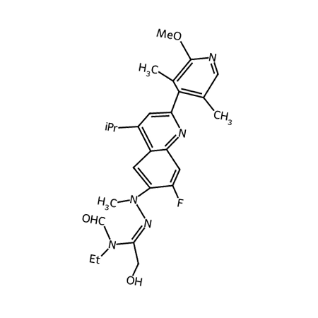 CCN(C=O)/C(CO)=N\N(C)c1cc2c(C(C)C)cc(-c3c(C)cnc(OC)c3C)nc2cc1F